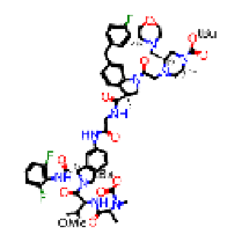 COC(C)C(NC(=O)C(C)N(C)C(=O)OC(C)(C)C)C(=O)N1Cc2ccc(NC(=O)CNC(=O)[C@]3(C)CN(C(=O)CN4C[C@@H](C)N(C(=O)OC(C)(C)C)C[C@@H]4CN4CCOC[C@H]4C)c4cc(Cc5ccc(F)cc5)ccc43)cc2[C@H]1C(=O)Nc1c(F)cccc1F